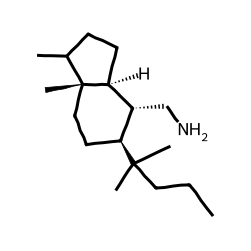 CCCC(C)(C)[C@H]1CC[C@]2(C)C(C)CC[C@H]2[C@@H]1CN